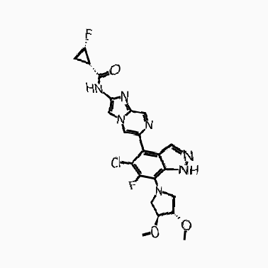 CO[C@H]1CN(c2c(F)c(Cl)c(-c3cn4cc(NC(=O)[C@@H]5C[C@@H]5F)nc4cn3)c3cn[nH]c23)C[C@@H]1OC